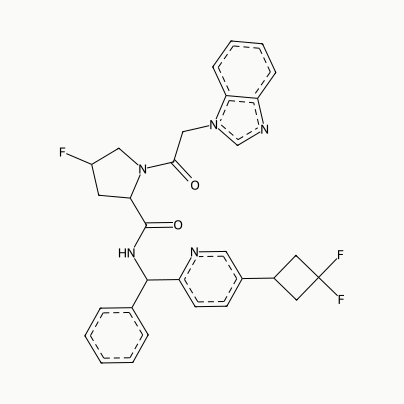 O=C(NC(c1ccccc1)c1ccc(C2CC(F)(F)C2)cn1)C1CC(F)CN1C(=O)Cn1cnc2ccccc21